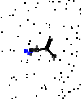 C=C(C=O)CC.N